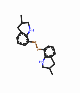 CC1CNc2c(cccc2SSc2cccc3c2NCC(C)C3)C1